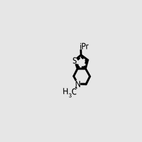 CC(C)c1cc2c(s1)CN(C)CC2